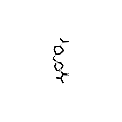 CC(C)C(=O)N1CCN(C[C@H]2CC[C@@H](C(C)C)CC2)CC1